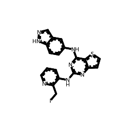 ICc1ncccc1Nc1nc(Nc2ccc3[nH]ncc3c2)c2sccc2n1